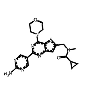 CN(Cc1cc2nc(-c3cnc(N)nc3)nc(N3CCOCC3)c2s1)C(=O)C1CC1